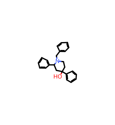 OC1(c2ccccc2)CCN(Cc2ccccc2)C(c2ccccc2)C1